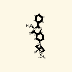 CN1CC2[C@H]1CN2c1ccc2nc(-c3ccccc3)n(C)c(=O)c2c1